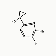 OC1(c2ccc(F)c(Br)n2)CC1